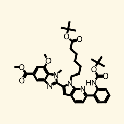 COC(=O)c1cc(OC)c2c(c1)nc(-c1cc3ccc(-c4ccccc4NC(=O)OC(C)(C)C)nc3n1CCCCCCC(=O)OC(C)(C)C)n2C